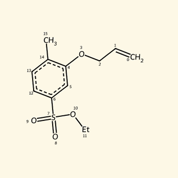 C=CCOc1cc(S(=O)(=O)OCC)ccc1C